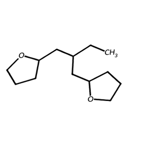 CCC(CC1CCCO1)CC1CCCO1